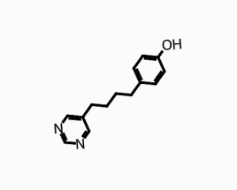 Oc1ccc(CCCCc2cncnc2)cc1